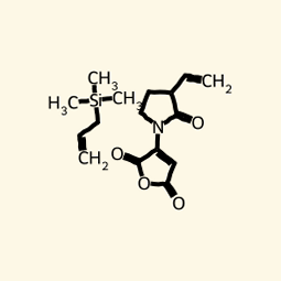 C=CC1CCN(C2=CC(=O)OC2=O)C1=O.C=CC[Si](C)(C)C